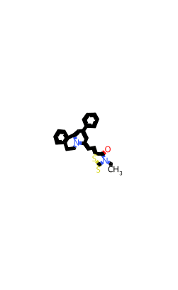 CCN1C(=O)C(=CC=C2C=C(c3ccccc3)C=C3c4ccccc4CCN23)SC1=S